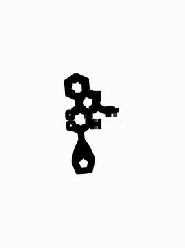 CC(C)c1nc2ccccc2c(=O)n1NC(=O)C1C2C3CCC(C3)C12